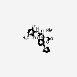 Cn1ccc([O-])c(NC(=O)N[C@@H](CC(=O)[O-])c2cccc(-n3cccc3)c2)c1=O.[Na+].[Na+]